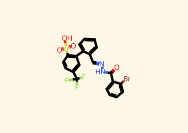 O=C(N/N=C/c1ccccc1-c1cc(C(F)(F)F)ccc1S(=O)(=O)O)c1ccccc1Br